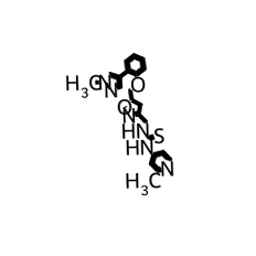 Cc1cc(NC(=S)NCC2=NOC(COc3ccccc3-c3cnn(C)c3)C2)ccn1